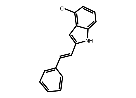 Clc1cccc2[nH]c(/C=C/c3ccccc3)cc12